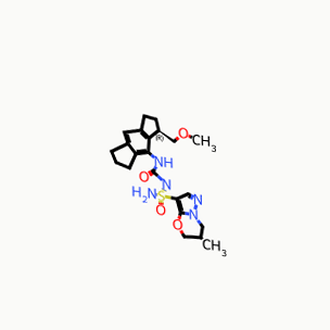 COC[C@@H]1CCc2cc3c(c(NC(=O)N=S(N)(=O)c4cnn5c4OCC(C)C5)c21)CCC3